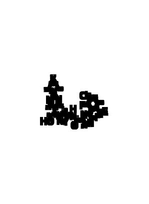 O=C(Nc1cnn([C@@H](CO)c2cnc(N3CC4CC4C3)nc2)c1)c1cncc(-c2c(C(F)F)ccc(Cl)c2F)n1